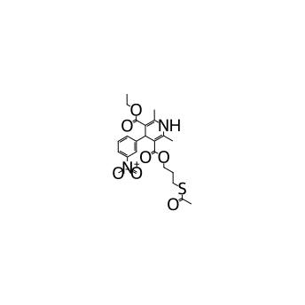 CCOC(=O)C1=C(C)NC(C)=C(C(=O)OCCCSC(C)=O)C1c1cccc([N+](=O)[O-])c1